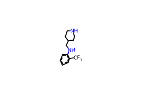 FC(F)(F)c1ccccc1NCC1CCNCC1